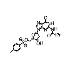 Cc1ccc(S(=O)(=O)OC[C@H]2O[C@@H](n3cnc4c(=O)[nH]c(NC(=O)C(C)C)nc43)C[C@@H]2O)cc1